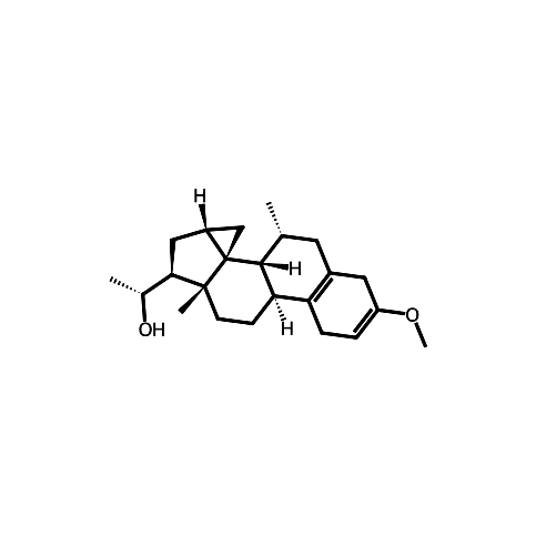 COC1=CCC2=C(C1)C[C@@H](C)[C@@H]1[C@@H]2CC[C@]2(C)[C@@H]([C@@H](C)O)C[C@@H]3C[C@@]312